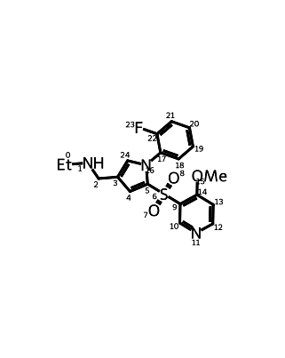 CCNCc1cc(S(=O)(=O)c2cnccc2OC)n(-c2ccccc2F)c1